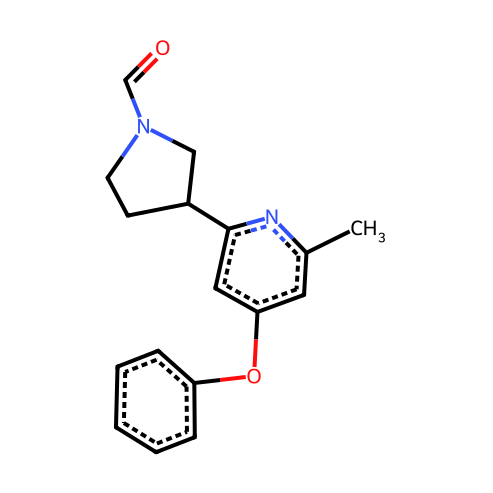 Cc1cc(Oc2ccccc2)cc(C2CCN(C=O)C2)n1